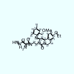 CCOc1cc2c(cc1OC)-c1c/c(=N\c3c(C)cc(C)cc3C)n(CCNC(=O)/C(N)=C(\Cl)N=N)c(=O)n1CC2